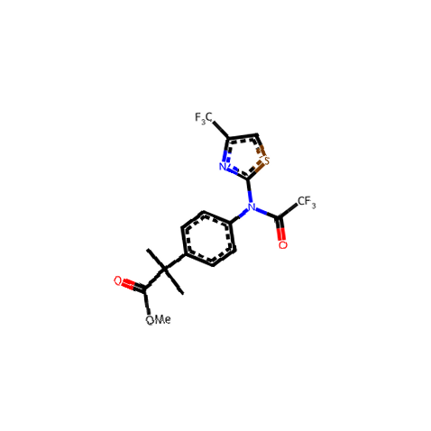 COC(=O)C(C)(C)c1ccc(N(C(=O)C(F)(F)F)c2nc(C(F)(F)F)cs2)cc1